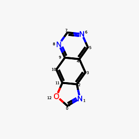 [c]1nc2cc3cncnc3cc2o1